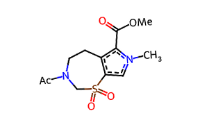 COC(=O)c1c2c(cn1C)S(=O)(=O)CN(C(C)=O)CC2